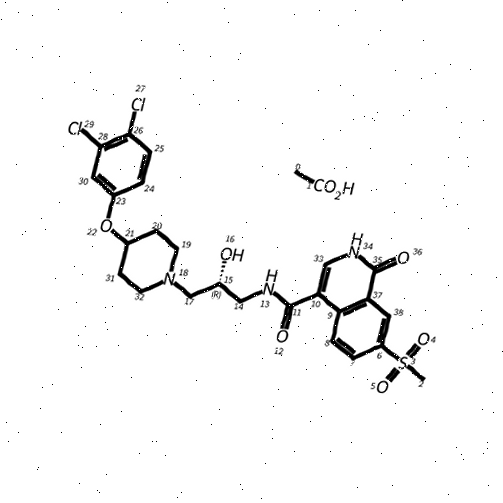 CC(=O)O.CS(=O)(=O)c1ccc2c(C(=O)NC[C@@H](O)CN3CCC(Oc4ccc(Cl)c(Cl)c4)CC3)c[nH]c(=O)c2c1